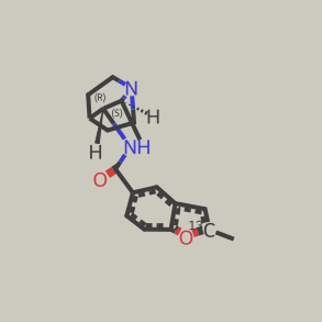 C[C@H]1[C@H](NC(=O)c2ccc3o[13c](C)cc3c2)C2CCN1CC2